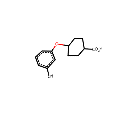 N#Cc1cccc(OC2CCC(C(=O)O)CC2)c1